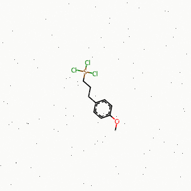 COc1ccc(CCCS(Cl)(Cl)Cl)cc1